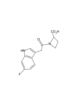 O=C(O)C1CCN1C(=O)Cc1c[nH]c2cc(F)ccc12